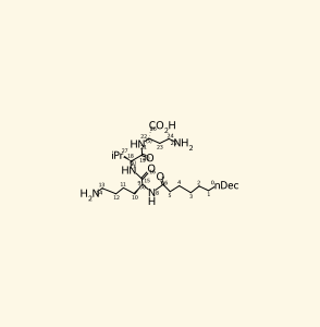 CCCCCCCCCCCCCCCC(=O)N[C@@H](CCCCN)C(=O)N[C@H](C(=O)N[C@@H](CCN)C(=O)O)C(C)C